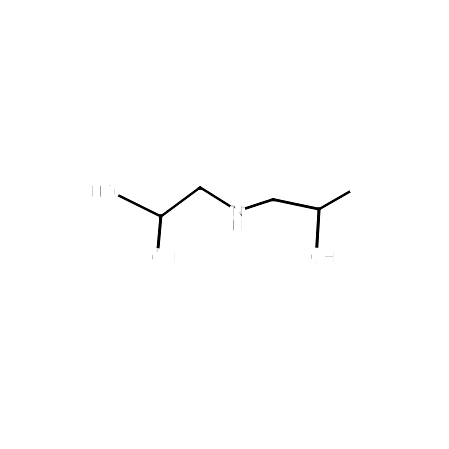 [CH2]C(O)CNCC(O)O